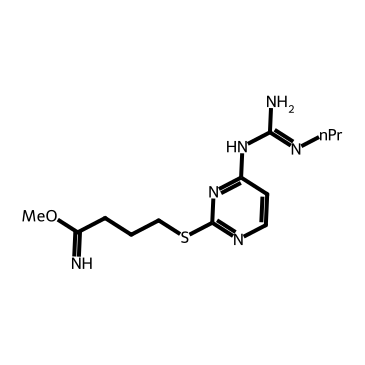 CCCN=C(N)Nc1ccnc(SCCCC(=N)OC)n1